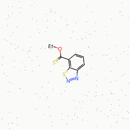 CCOC(=S)c1cccc2nnsc12